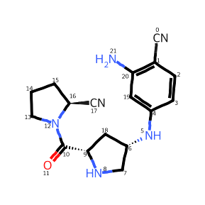 N#Cc1ccc(N[C@@H]2CN[C@H](C(=O)N3CCC[C@H]3C#N)C2)cc1N